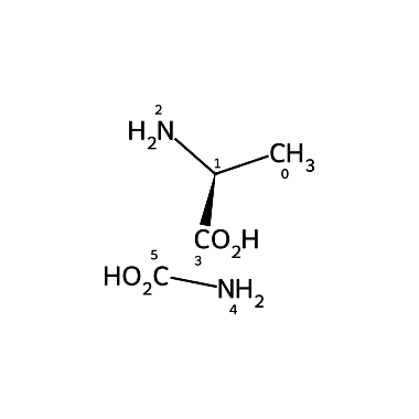 C[C@H](N)C(=O)O.NC(=O)O